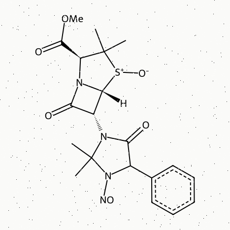 COC(=O)[C@@H]1N2C(=O)[C@@H](N3C(=O)C(c4ccccc4)N(N=O)C3(C)C)[C@H]2[S+]([O-])C1(C)C